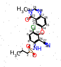 CCCS(=O)(=O)Nc1ccc(Cl)c(Oc2ccc3ncn(C)c(=O)c3c2)c1C#N